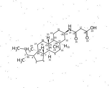 CC[C@@H](C)C1CC[C@H]2[C@@H]3CC[C@@H]4C[C@H](NC(=O)CC(=O)O)CC[C@]4(C)[C@H]3CC[C@]12C